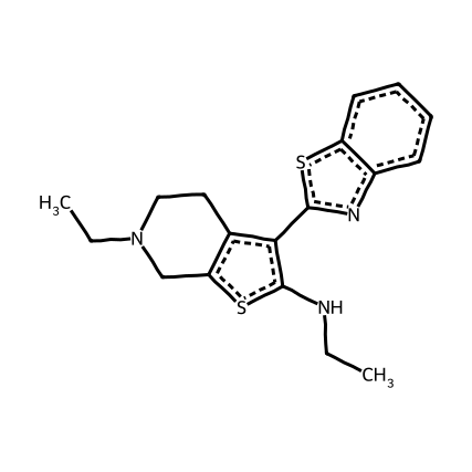 CCNc1sc2c(c1-c1nc3ccccc3s1)CCN(CC)C2